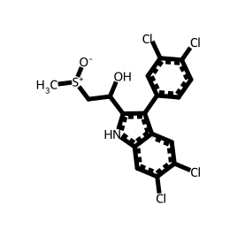 C[S+]([O-])CC(O)c1[nH]c2cc(Cl)c(Cl)cc2c1-c1ccc(Cl)c(Cl)c1